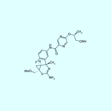 COC[C@H](C)Oc1cnc(C(=O)Nc2ccc(F)c([C@]3(C)N=C(N)S[C@@]4(COC)C[C@H]43)c2)cn1